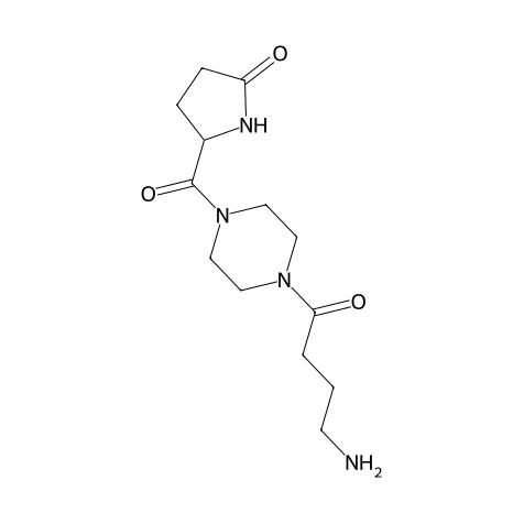 NCCCC(=O)N1CCN(C(=O)C2CCC(=O)N2)CC1